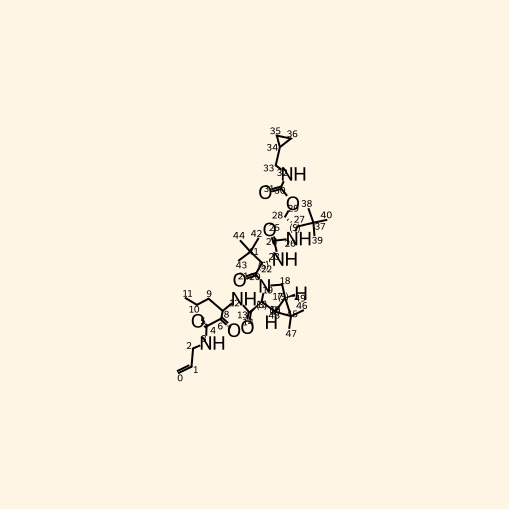 C=CCNC(=O)C(=O)C(CCC)NC(=O)[C@@H]1[C@@H]2[C@H](CN1C(=O)[C@@H](NC(=O)N[C@H](COC(=O)NCC1CC1)C(C)(C)C)C(C)(C)C)C2(C)C